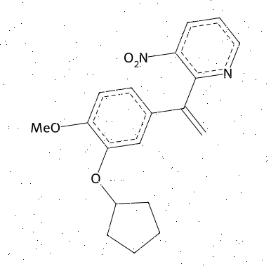 C=C(c1ccc(OC)c(OC2CCCC2)c1)c1ncccc1[N+](=O)[O-]